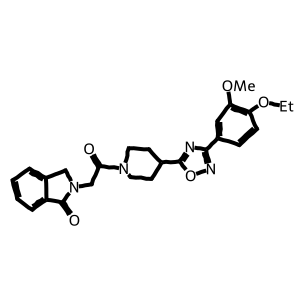 CCOc1ccc(-c2noc(C3CCN(C(=O)CN4Cc5ccccc5C4=O)CC3)n2)cc1OC